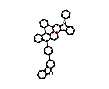 c1ccc(-n2c3ccccc3c3ccc(-c4ccccc4-c4c5ccccc5c(-c5ccc(-c6ccc7oc8ccccc8c7c6)cc5)c5ccccc45)cc32)cc1